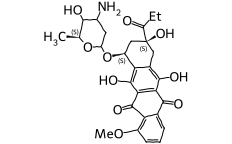 CCC(=O)[C@]1(O)Cc2c(O)c3c(c(O)c2[C@@H](OC2CC(N)C(O)[C@H](C)O2)C1)C(=O)c1c(OC)cccc1C3=O